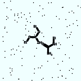 BC(=O)NCC.CCOP(O)OCC